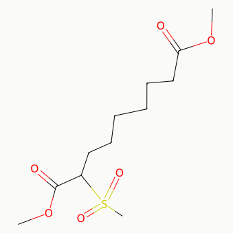 COC(=O)CCCCCCC(C(=O)OC)S(C)(=O)=O